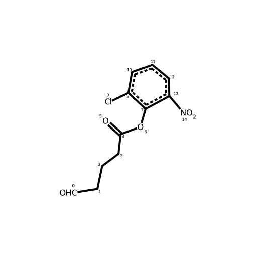 O=CCCCC(=O)Oc1c(Cl)cccc1[N+](=O)[O-]